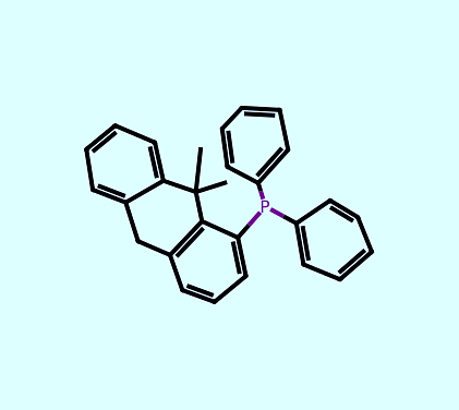 CC1(C)c2ccccc2Cc2cccc(P(c3ccccc3)c3ccccc3)c21